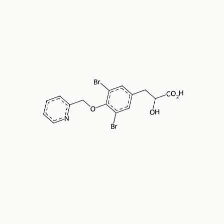 O=C(O)C(O)Cc1cc(Br)c(OCc2ccccn2)c(Br)c1